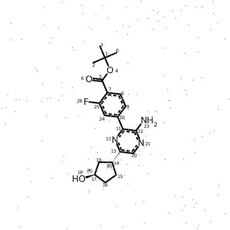 CC(C)(C)OC(=O)c1ccc(-c2nc([C@@H]3CC[C@@H](O)C3)cnc2N)cc1F